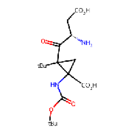 CC(C)(C)OC(=O)NC1(C(=O)O)CC1(C(=O)[C@@H](N)CC(=O)O)C(C)(C)C